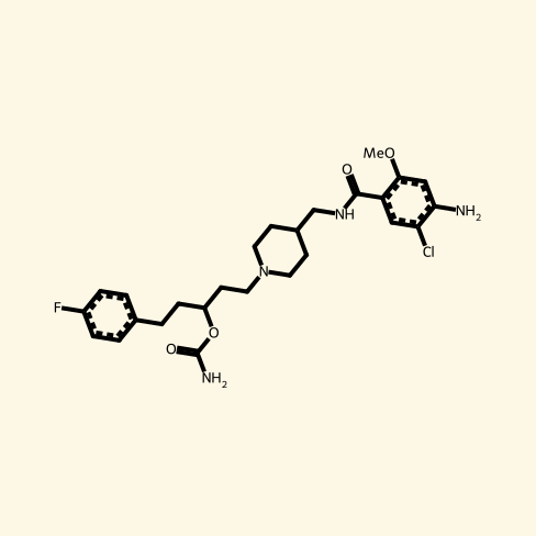 COc1cc(N)c(Cl)cc1C(=O)NCC1CCN(CCC(CCc2ccc(F)cc2)OC(N)=O)CC1